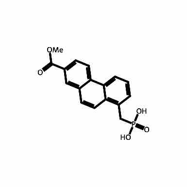 COC(=O)c1ccc2c(ccc3c(CP(=O)(O)O)cccc32)c1